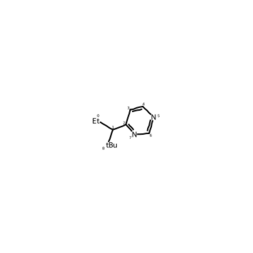 CCC(c1ccncn1)C(C)(C)C